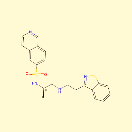 C[C@H](CNCCc1nsc2ccccc12)NS(=O)(=O)c1ccc2cnccc2c1